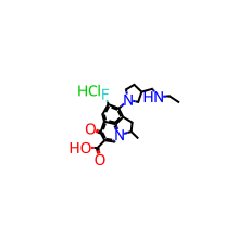 CCNCC1CCN(c2c(F)cc3c(=O)c(C(=O)O)cn4c3c2CC4C)C1.Cl